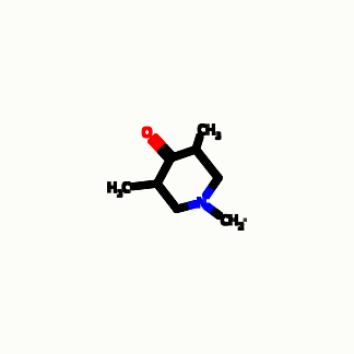 [CH2]N1CC(C)C(=O)C(C)C1